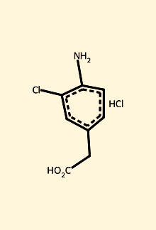 Cl.Nc1ccc(CC(=O)O)cc1Cl